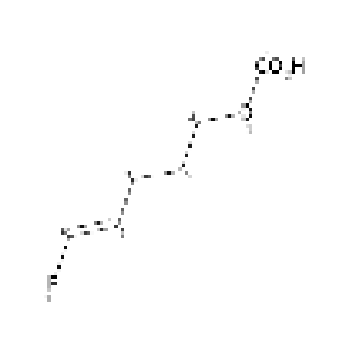 O=C(O)OCCCC=CF